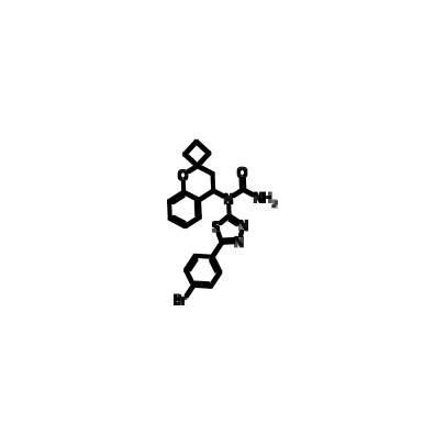 NC(=O)N(c1nnc(-c2ccc(Br)cc2)s1)C1CC2(CCC2)Oc2ccccc21